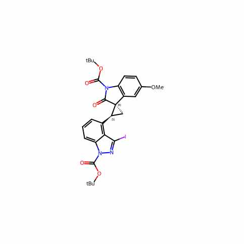 COc1ccc2c(c1)[C@]1(C[C@H]1c1cccc3c1c(I)nn3C(=O)OC(C)(C)C)C(=O)N2C(=O)OC(C)(C)C